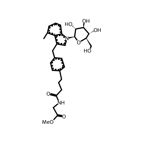 COC(=O)CNC(=O)CCCc1ccc(Cc2cn([C@@H]3O[C@H](CO)[C@@H](O)[C@H](O)[C@H]3O)c3cccc(C)c23)cc1